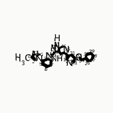 Cc1cn(-c2cccc3[nH]c(-c4n[nH]c5cnc(-c6cncc(OCc7ccccc7)c6)cc45)nc23)cn1